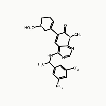 CC(Nc1ncnc2c1cc(C1=CCCN(C(=O)O)C1)c(=O)n2C)c1cc([N+](=O)[O-])cc(C(F)(F)F)c1